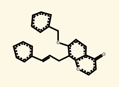 O=c1ccoc2c(CC=Cc3ccccc3)c(OCc3ccccc3)ccc12